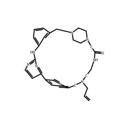 C=CCN1CCNC(=O)CN2CCN(CC2)Cc2cccc(c2)Nc2nccc(n2)-c2ccc(nc2)C1